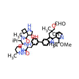 CCn1c(-c2cccnc2[C@H](C)OC)c(CC(C)(C)COC=O)c2cc(-c3cc(O)cc(C[C@H](NC(=O)C(C(C)C)N(C)C(=O)C4CCNC45CCC5)C(=O)N4CCC[C@@H](C)N4)c3)ccc21